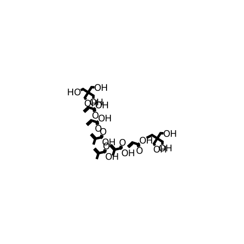 C=C(C)C(=O)O.C=C(C)C(=O)O.C=C(C)C(=O)O.C=CC(=O)O.C=CC(=O)O.C=CC(=O)O.CCC(CO)(CO)CO.OCC(CO)(CO)CO